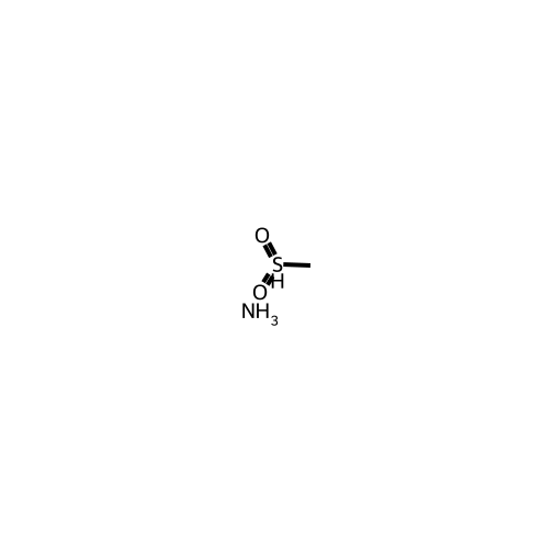 C[SH](=O)=O.N